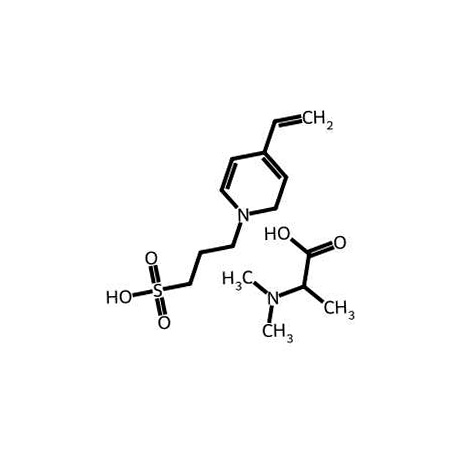 C=CC1=CCN(CCCS(=O)(=O)O)C=C1.CC(C(=O)O)N(C)C